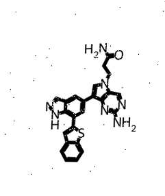 NC(=O)CCn1cc(-c2cc(-c3cc4ccccc4s3)c3[nH]ncc3c2)c2nc(N)ncc21